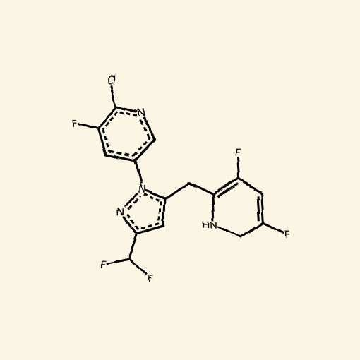 FC1=CC(F)=C(Cc2cc(C(F)F)nn2-c2cnc(Cl)c(F)c2)NC1